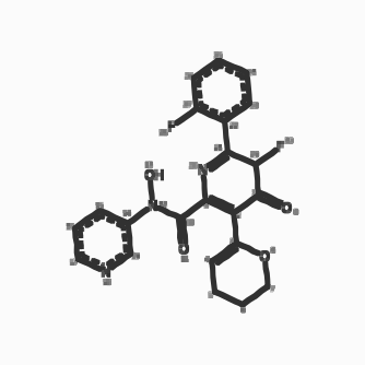 O=C1C(C2=CCCCO2)=C(C(=O)N(O)c2cccnc2)N=C(c2ccccc2F)C1F